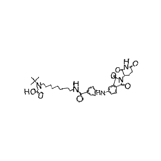 CC(C)(C)N(CCCCCCCCNC(=O)c1ccc(CNc2ccc3c(c2)C(=O)N(C2CCC(=O)NC2=O)C3=O)cc1)C(=O)O